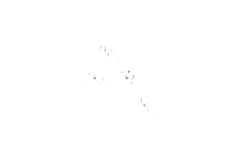 Nc1ccc(C=CCCCc2nc(CCCC=Cc3ccc(N)cc3)nc(CCCC=Cc3ccc(N)cc3)n2)cc1